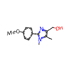 COc1ccc(-c2nc(CO)c(C)n2C)cc1